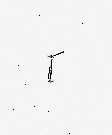 CBB=P